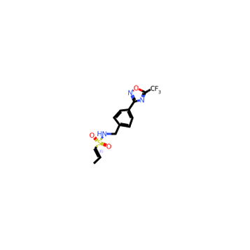 C/C=C/S(=O)(=O)NCc1ccc(-c2noc(C(F)(F)F)n2)cc1